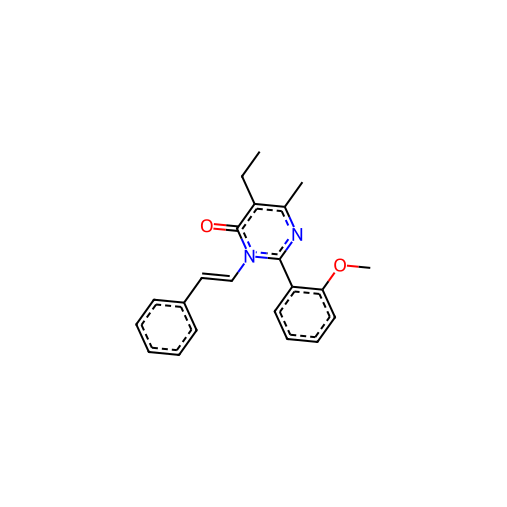 CCc1c(C)nc(-c2ccccc2OC)n(/C=C/c2ccccc2)c1=O